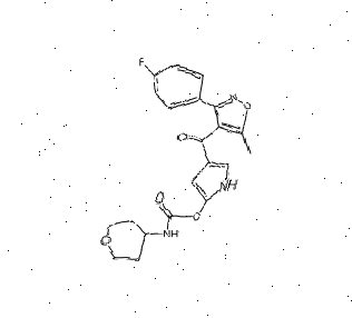 Cc1onc(-c2ccc(F)cc2)c1C(=O)c1c[nH]c(OC(=O)NC2CCOCC2)c1